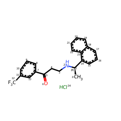 C[C@@H](NCCC(=O)c1cccc(C(F)(F)F)c1)c1cccc2ccccc12.Cl